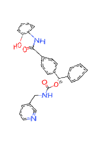 O=C(NCc1cccnc1)O[C@@H](c1ccccc1)c1ccc(C(=O)Nc2ccccc2O)cc1